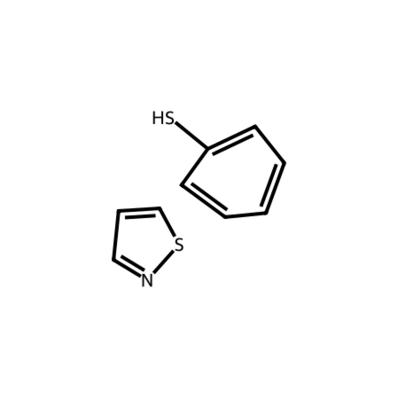 Sc1ccccc1.c1cnsc1